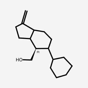 C=C1CCC2C1CCC(C1CCCCC1)[C@H]2CO